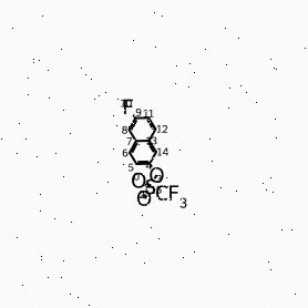 O=S(=O)(Oc1ccc2cc(F)ccc2c1)C(F)(F)F